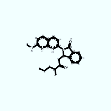 CCCC(C)C(=O)CC1c2ccccc2C(=O)N1c1ccc2ccc(OC)nc2n1